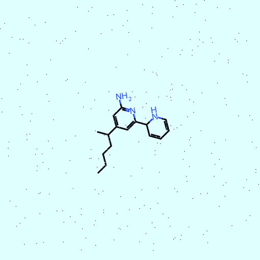 CCCCC(C)c1cc(N)nc(C2C=CC=CN2)c1